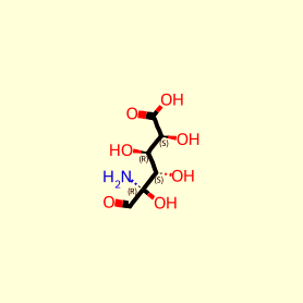 N[C@](O)(C=O)[C@@H](O)[C@@H](O)[C@H](O)C(=O)O